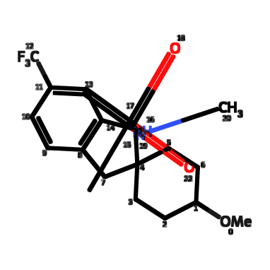 COC1CCC2(CC1)Cc1ccc(C(F)(F)F)cc1C21NC(=O)N(C)C1=O